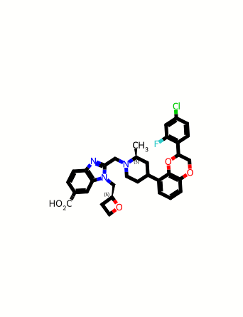 C[C@H]1CC(c2cccc3c2OC(c2ccc(Cl)cc2F)CO3)CCN1Cc1nc2ccc(C(=O)O)cc2n1C[C@@H]1CCO1